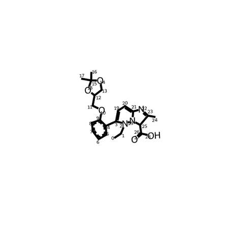 CCN1C(c2ccccc2OCC2COC(C)(C)O2)=CC=C2N=C(C)C(C(=O)O)N21